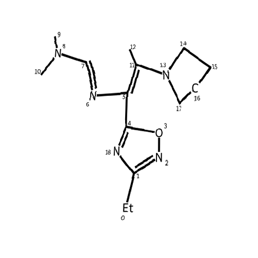 CCc1noc(C(N=CN(C)C)=C(C)N2CCCC2)n1